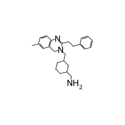 Cc1ccc2c(c1)CN(CC1CCCC(CN)C1)C(CCc1ccccc1)=N2